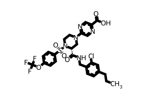 CCCc1ccc(CNC(=O)[C@H]2CN(c3cnc(C(=O)O)cn3)CCN2S(=O)(=O)c2ccc(OC(F)(F)F)cc2)c(Cl)c1